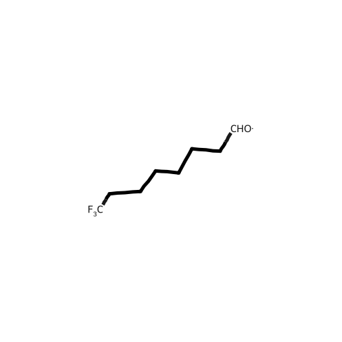 O=[C]CCCCCCC(F)(F)F